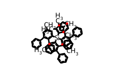 CC1=C(C)C(C)C([Si](c2cc(C)cc(-c3ccccc3)c2-c2ccccc2)(c2cc(C)cc(-c3ccccc3)c2-c2ccccc2)c2cc(C)cc(-c3ccccc3)c2-c2ccccc2)=C1C